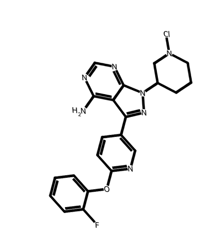 Nc1ncnc2c1c(-c1ccc(Oc3ccccc3F)nc1)nn2C1CCCN(Cl)C1